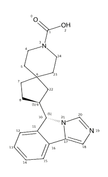 O=C(O)N1CCC2(CC[C@H]([C@H]3c4ccccc4-c4cncn43)C2)CC1